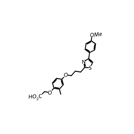 COc1ccc(-c2csc(CCCOc3ccc(OCC(=O)O)c(C)c3)n2)cc1